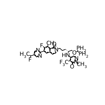 Cc1c(F)c(-c2ncc(C(C)F)cn2)cc2ccn(CCC[C@H](COC(P)P)Nc3cnn(C)c(=O)c3C(F)(F)F)c(=O)c12